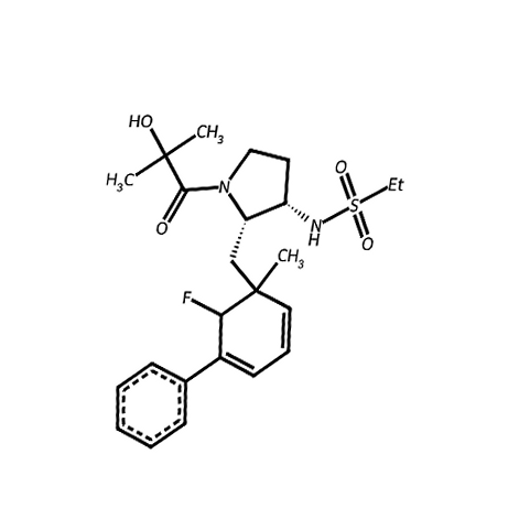 CCS(=O)(=O)N[C@H]1CCN(C(=O)C(C)(C)O)[C@H]1CC1(C)C=CC=C(c2ccccc2)C1F